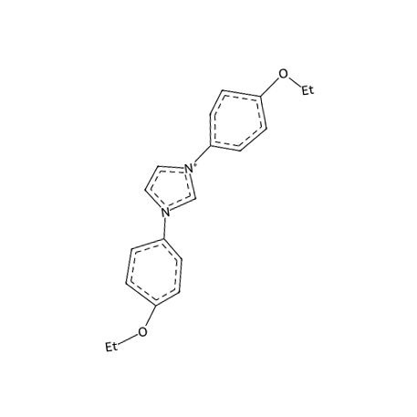 CCOc1ccc(-n2cc[n+](-c3ccc(OCC)cc3)c2)cc1